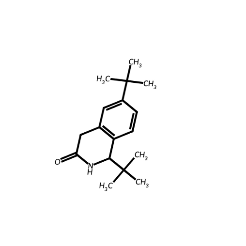 CC(C)(C)c1ccc2c(c1)CC(=O)NC2C(C)(C)C